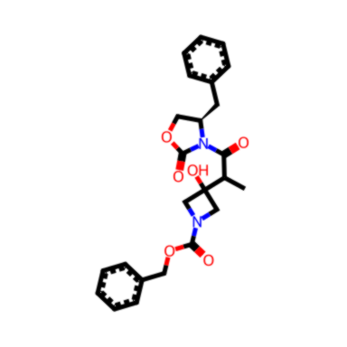 CC(C(=O)N1C(=O)OC[C@H]1Cc1ccccc1)C1(O)CN(C(=O)OCc2ccccc2)C1